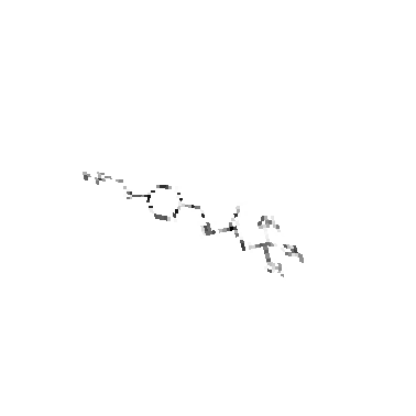 CCON1CCC(CNC(=O)OC(C)(C)C)CC1